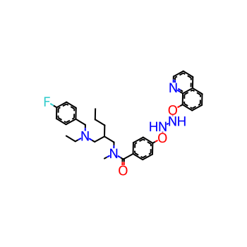 CCCC(CN(CC)Cc1ccc(F)cc1)CN(C)C(=O)c1ccc(ONNOc2cccc3cccnc23)cc1